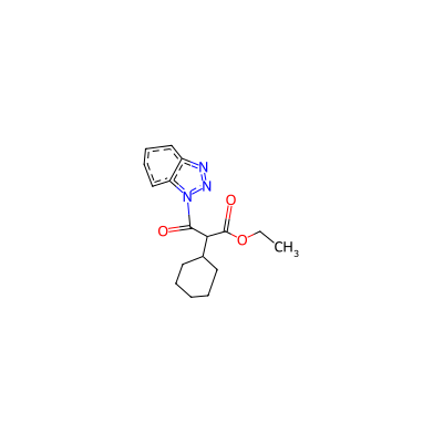 CCOC(=O)C(C(=O)n1nnc2ccccc21)C1CCCCC1